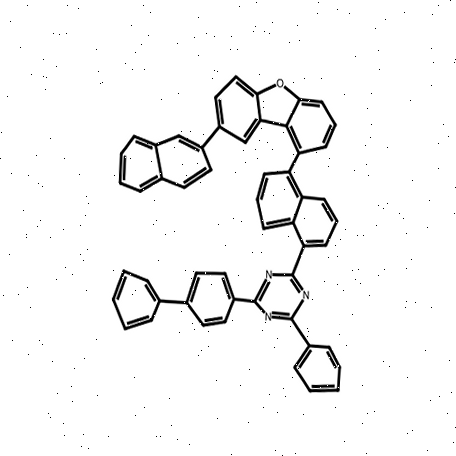 c1ccc(-c2ccc(-c3nc(-c4ccccc4)nc(-c4cccc5c(-c6cccc7oc8ccc(-c9ccc%10ccccc%10c9)cc8c67)cccc45)n3)cc2)cc1